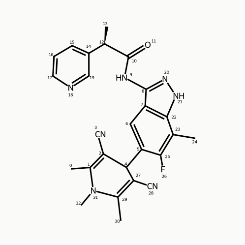 CC1=C(C#N)C(c2cc3c(NC(=O)[C@H](C)c4cccnc4)n[nH]c3c(C)c2F)C(C#N)=C(C)N1C